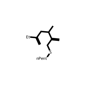 C=C(CC)CC(C)C(=C)CSCCCCC